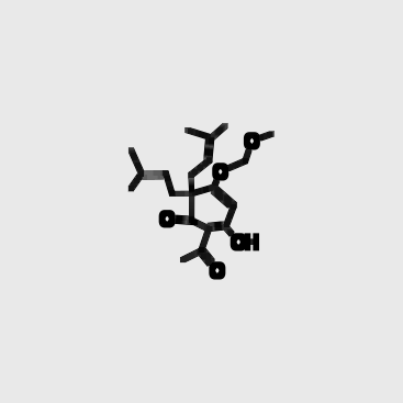 COCOC1=CC(O)=C(C(C)=O)C(=O)C1(CC=C(C)C)CC=C(C)C